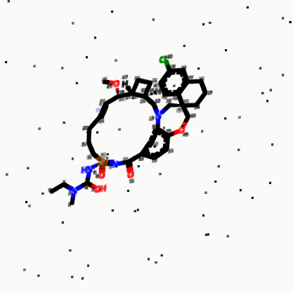 CCN(C)C(O)N[S@]1(=O)=NC(=O)c2ccc3c(c2)N(C[C@@H]2CC[C@H]2[C@@H](OC)/C=C/CCC1)C[C@@]1(CCCc2cc(Cl)ccc21)CO3